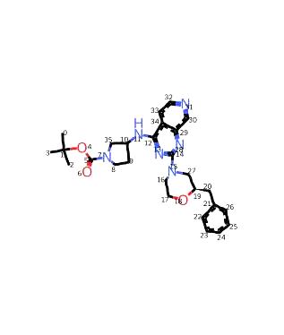 CC(C)(C)OC(=O)N1CCC(Nc2nc(N3CCO[C@H](Cc4ccccc4)C3)nc3cnccc23)C1